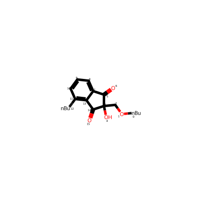 CCCCOCC1(O)C(=O)c2cccc(CCCC)c2C1=O